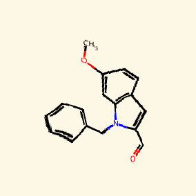 COc1ccc2cc(C=O)n(Cc3ccccc3)c2c1